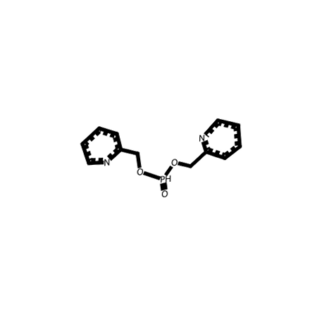 O=[PH](OCc1ccccn1)OCc1ccccn1